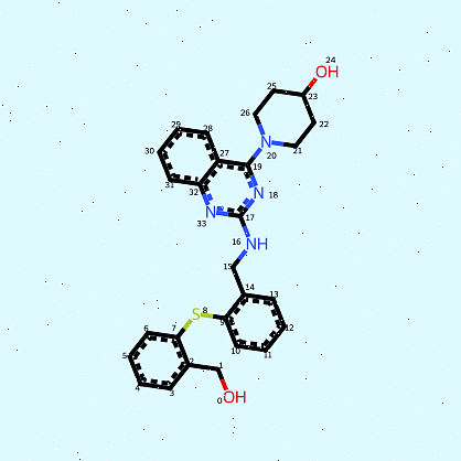 OCc1ccccc1Sc1ccccc1CNc1nc(N2CCC(O)CC2)c2ccccc2n1